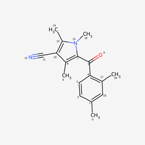 Cc1ccc(C(=O)c2c(C)c(C#N)c(C)n2C)c(C)c1